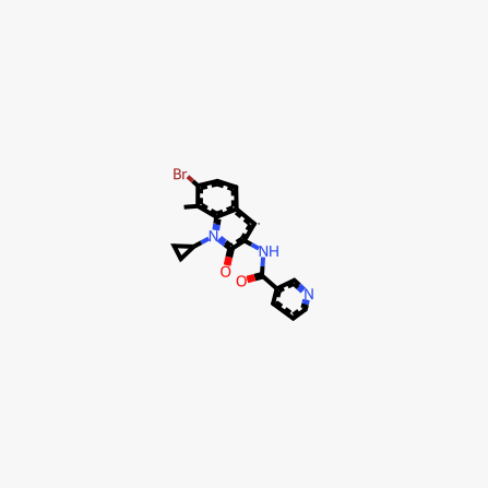 Cc1c(Br)ccc2[c]c(NC(=O)c3cccnc3)c(=O)n(C3CC3)c12